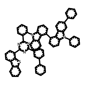 c1ccc(-c2cccc(-c3nc(-c4ccccc4-n4c5ccccc5c5c(-c6cccc7c6c6ccc(-c8ccccc8)cc6n7-c6ccccc6)cccc54)nc(-c4cccc5c4sc4ccccc45)n3)c2)cc1